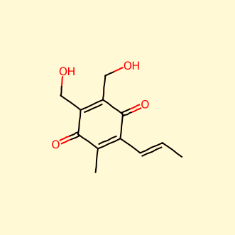 CC=CC1=C(C)C(=O)C(CO)=C(CO)C1=O